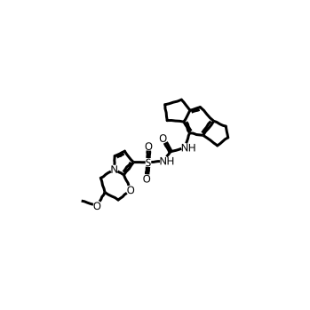 COC1COc2c(S(=O)(=O)NC(=O)Nc3c4c(cc5c3CCC5)CCC4)ccn2C1